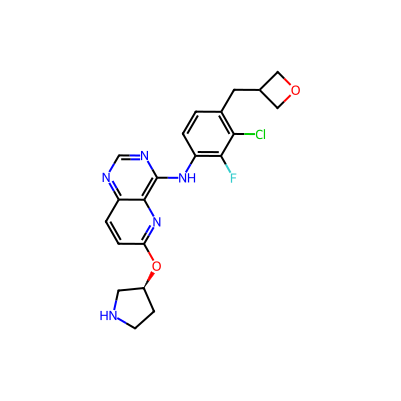 Fc1c(Nc2ncnc3ccc(O[C@H]4CCNC4)nc23)ccc(CC2COC2)c1Cl